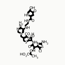 C[C@H](O/N=C(\C(=O)N[C@@H]1C(=O)N2C(C(=O)O)=C(CN3C=C(NCCNC(=O)c4cc(=O)c(O)c[nH]4)C(N)=NC3)CSC12)c1nc(N)sc1Cl)C(=O)O